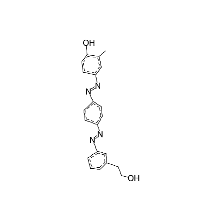 Cc1cc(/N=N/c2ccc(/N=N/c3cccc(CCO)c3)cc2)ccc1O